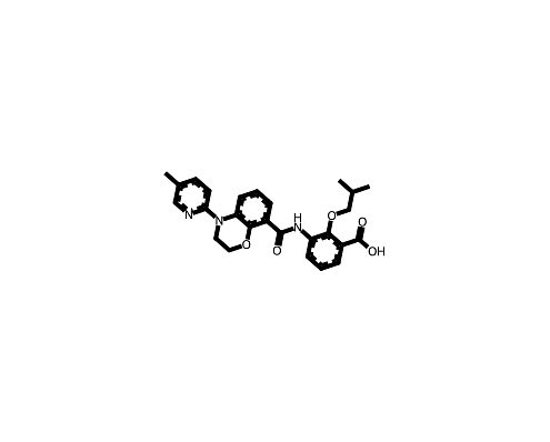 Cc1ccc(N2CCOc3c(C(=O)Nc4cccc(C(=O)O)c4OCC(C)C)cccc32)nc1